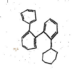 S.c1ccc(-c2ccccc2-c2ccccc2C2CCCCC2)cc1